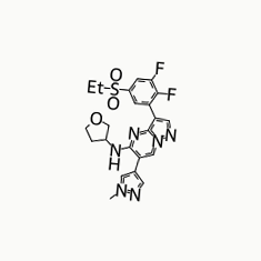 CCS(=O)(=O)c1cc(F)c(F)c(-c2cnn3cc(-c4cnn(C)c4)c(NC4CCOC4)nc23)c1